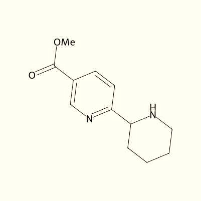 COC(=O)c1ccc(C2CCCCN2)nc1